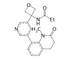 CCC(=O)NC1(c2cncc(-c3cccc4c3N(C)C(=O)CC4)c2)COC1